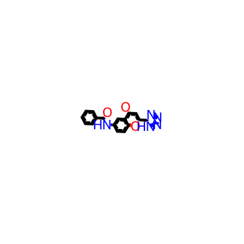 O=C(Nc1ccc2oc(-c3nnn[nH]3)cc(=O)c2c1)c1ccccc1